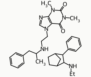 CC(Cc1ccccc1)NCCn1cnc2c1c(=O)n(C)c(=O)n2C.CCNC1C2CCC(C2)C1c1ccccc1